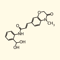 CN1C(=O)COc2cc(/C=C/C(=O)Nc3ccccc3C(O)O)ccc21